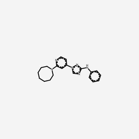 c1ccc(Nc2ncn(-c3ccnc(N4CCCCCCC4)c3)n2)cc1